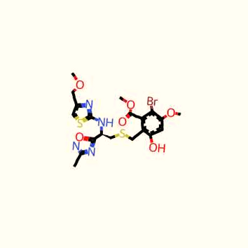 COCc1csc(N[C@@H](CSCc2c(O)cc(OC)c(Br)c2C(=O)OC)c2nc(C)no2)n1